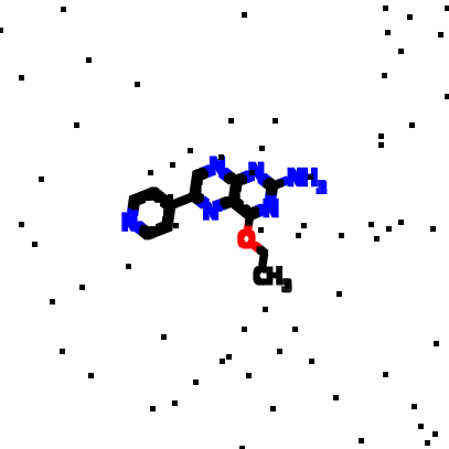 CCOc1nc(N)nc2ncc(-c3ccncc3)nc12